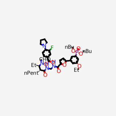 CCCCC[C@@H](C(=O)NCNC(=O)c1ccc(-c2cc(OCC)cc(P(=O)(OCCCC)OCCCC)c2)o1)[C@@H](CC)N(C=O)OC(=O)c1ccc(N2CCCC2)c(F)c1